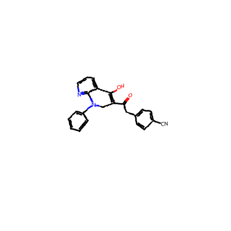 N#Cc1ccc(CC(=O)C2=C(O)c3cccnc3N(c3ccccc3)C2)cc1